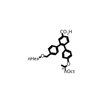 CCCCCCCC[C@@H](C)Oc1ccc(-c2ccc(C(=O)O)cc2-c2ccc(COCCCCCC)cc2)cc1